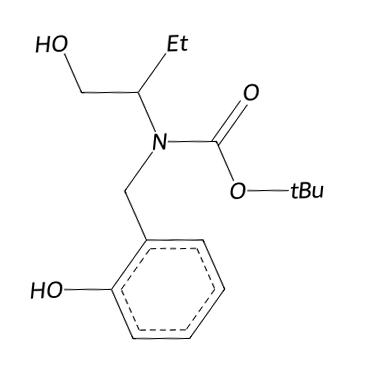 CCC(CO)N(Cc1ccccc1O)C(=O)OC(C)(C)C